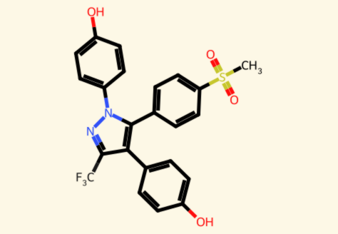 CS(=O)(=O)c1ccc(-c2c(-c3ccc(O)cc3)c(C(F)(F)F)nn2-c2ccc(O)cc2)cc1